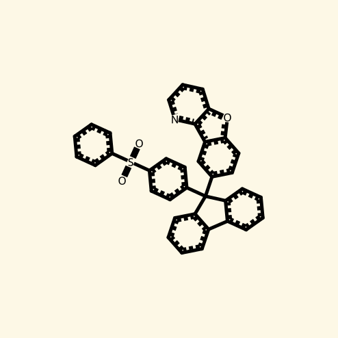 O=S(=O)(c1ccccc1)c1ccc(C2(c3ccc4oc5cccnc5c4c3)c3ccccc3-c3ccccc32)cc1